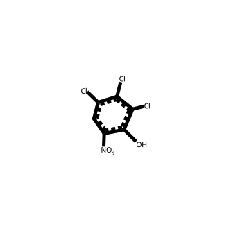 O=[N+]([O-])c1cc(Cl)c(Cl)c(Cl)c1O